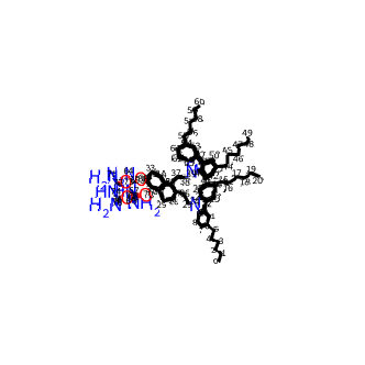 CCCCCCc1ccc2c(c1)c1cc(CCCCCC)ccc1n2CCc1ccc2ccccc2c1CCn1c2ccc(CCCCCC)cc2c2cc(CCCCCC)ccc21.NC(=O)NC(N)=O.NC(=O)NC(N)=O